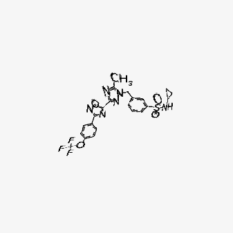 Cc1nc(-c2nc(-c3ccc(OC(F)(F)F)cc3)no2)nn1Cc1cccc(S(=O)(=O)NC2CC2)c1